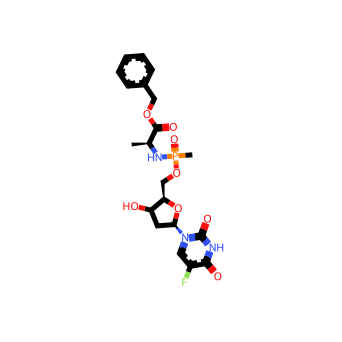 C[C@H](NP(C)(=O)OC[C@H]1O[C@@H](n2cc(F)c(=O)[nH]c2=O)CC1O)C(=O)OCc1ccccc1